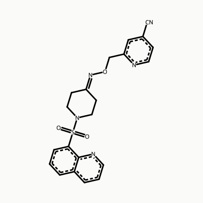 N#Cc1ccnc(CON=C2CCN(S(=O)(=O)c3cccc4cccnc34)CC2)c1